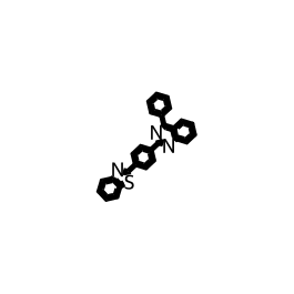 c1ccc(-c2nc(-c3ccc(-c4nc5ccccc5s4)cc3)nc3ccccc23)cc1